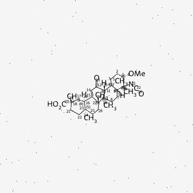 CO[C@H]1CC[C@@]2(C)[C@@H](CC[C@]3(C)[C@@H]2C(=O)C=C2[C@@H]4C[C@@](C)(C(=O)O)CC[C@]4(C)CC[C@]23C)[C@]1(C)N=C=O